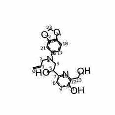 C=CCN(CC(O)c1ccc(O)c(CO)n1)c1ccc2c(c1)OCO2